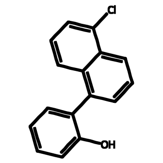 Oc1ccccc1-c1cccc2c(Cl)cccc12